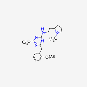 COc1ccccc1Cc1nc(NCCC2CCCN2C)nc(C(Cl)(Cl)Cl)n1